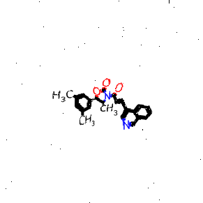 Cc1cc(C)cc([C@H]2OC(=O)N(C(=O)/C=C/c3cncc4ccccc34)[C@H]2C)c1